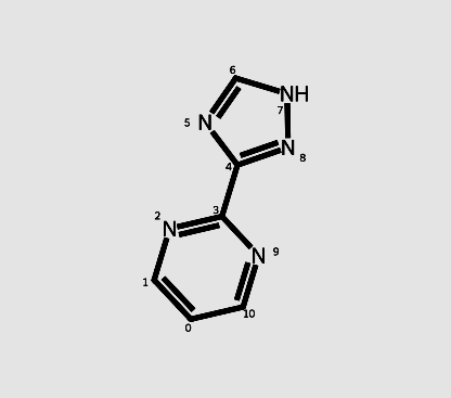 c1cnc(-c2nc[nH]n2)nc1